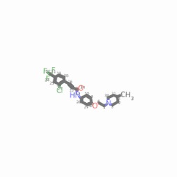 CC1CCN(CCOc2ccc(NC(=O)C#Cc3ccc(C(F)(F)F)cc3Cl)cc2)CC1